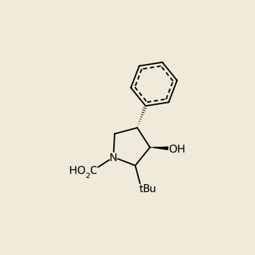 CC(C)(C)C1[C@H](O)[C@@H](c2ccccc2)CN1C(=O)O